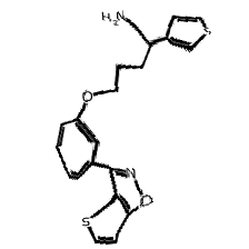 NC(CCCOc1cccc(-c2noc3ccsc23)c1)c1ccsc1